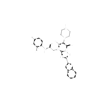 CCc1c(N2CCNCC2)c(=O)n2nc(-c3cc4ccccc4s3)nc2n1CC(=O)Nc1ccc(C(F)(F)F)cc1Cl